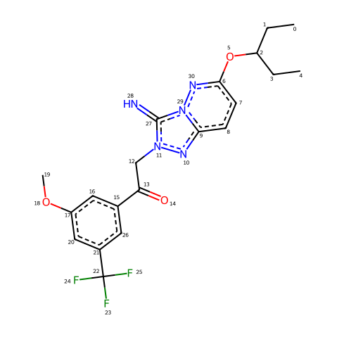 CCC(CC)Oc1ccc2nn(CC(=O)c3cc(OC)cc(C(F)(F)F)c3)c(=N)n2n1